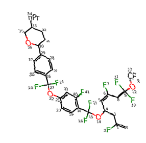 C=C(F)CC(/C=C(/F)CC(F)(F)OC(F)(F)F)OC(F)(F)c1ccc(OC(F)(F)c2ccc(C3CCC(CCC)CO3)cc2)cc1F